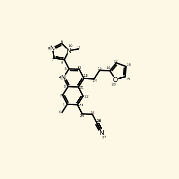 Cc1cc2nc(-c3cncn3C)cc(CCc3ccco3)c2cc1CCC#N